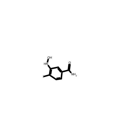 NC(=O)c1ccc(I)c(NO)c1